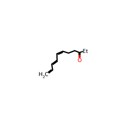 C=C/C=C/C=C\CCC(=O)CC